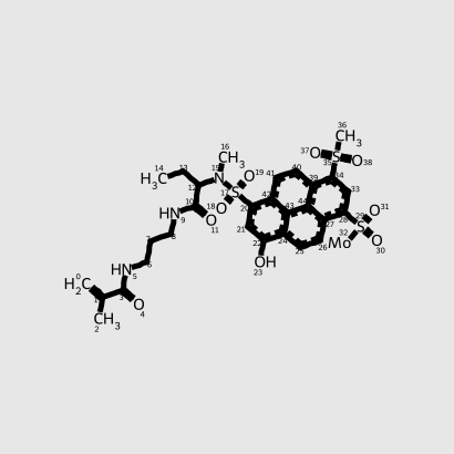 C=C(C)C(=O)NCCCNC(=O)C(CC)N(C)S(=O)(=O)c1cc(O)c2ccc3c([S](=O)(=O)[Mo])cc(S(C)(=O)=O)c4ccc1c2c43